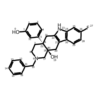 Oc1cccc([C@@]23CCN(Cc4ccccc4)C[C@@]2(O)Cc2c([nH]c4cc(F)ccc24)C3)c1